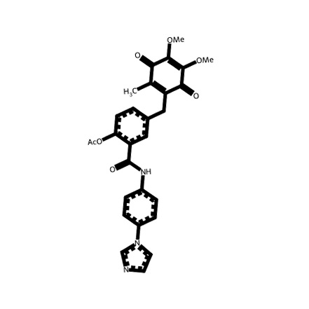 COC1=C(OC)C(=O)C(Cc2ccc(OC(C)=O)c(C(=O)Nc3ccc(-n4ccnc4)cc3)c2)=C(C)C1=O